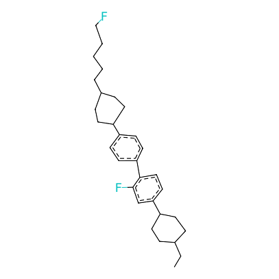 CCC1CCC(c2ccc(-c3ccc(C4CCC(CCCCCF)CC4)cc3)c(F)c2)CC1